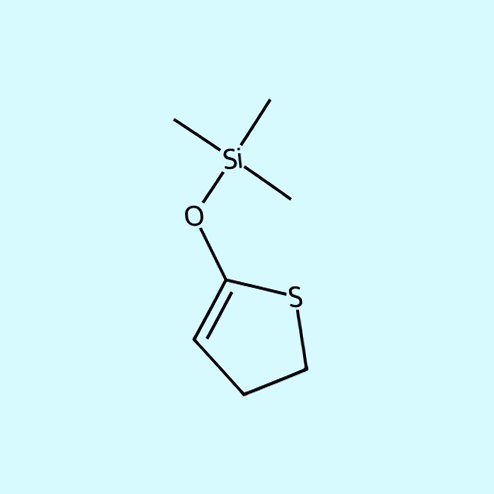 C[Si](C)(C)OC1=CCCS1